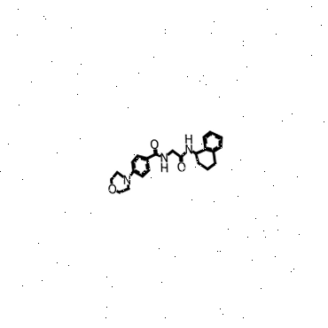 O=C(CNC(=O)c1ccc(N2CCOCC2)cc1)NC1CCCc2ccccc21